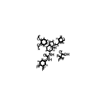 COc1ccc([C@@]23CC[C@@H](NC(=O)Nc4ccc(F)c(F)c4)C[C@@H]2N(Cc2ccoc2)CC3)cc1OC.O=C(O)C(F)(F)F